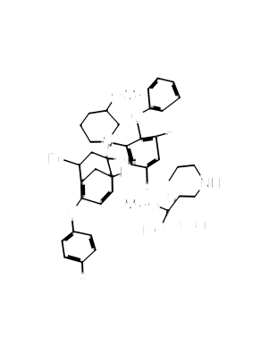 CCC1CC(O)([N@+]2(c3cc(F)cc(F)c3Oc3ccccc3)CCCC(OC)C2)C2(F)C=CC(Oc3ccc(F)cc3)=C1C2.CCCC[C@](O)(OC)[C@@H]1CCCNC1